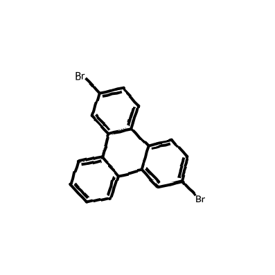 Brc1ccc2c3ccc(Br)cc3c3ccccc3c2c1